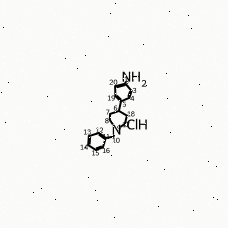 Cl.Nc1ccc(C2CCN(Cc3ccccc3)CC2)cc1